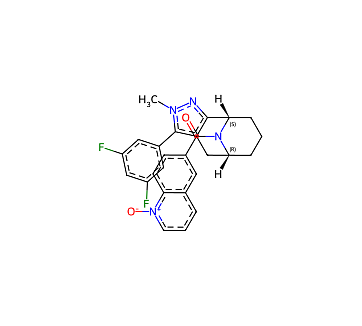 Cn1nc2c(c1-c1cc(F)cc(F)c1)C[C@H]1CCC[C@@H]2N1C(=O)c1ccc2c(ccc[n+]2[O-])c1